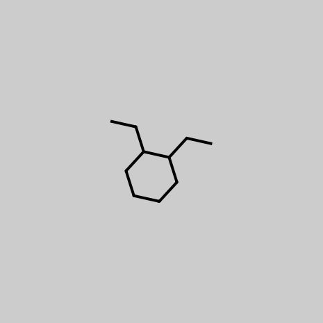 CCC1CCCCC1CC